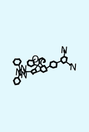 N#Cc1cc(C#N)cc(-c2ccc(-c3ccc4c(c3)C3(c5ccccc5Oc5ccccc53)c3cc(-c5nc(-c6ccccc6)nc(-c6ccccc6)n5)ccc3-4)cc2)c1